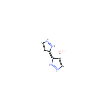 B.C1=CC(=C2C=CN=N2)N=N1